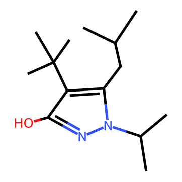 CC(C)Cc1c(C(C)(C)C)c(O)nn1C(C)C